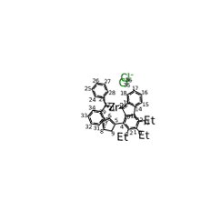 CCc1c(CC)c(C2=CC=CC2)c2c(c1CC)-c1ccccc1[CH]2[Zr+2]=[C](c1ccccc1)c1ccccc1.[Cl-].[Cl-]